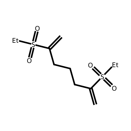 C=C(CCCC(=C)S(=O)(=O)CC)S(=O)(=O)CC